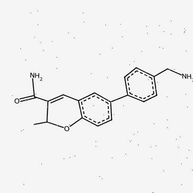 CC1Oc2ccc(-c3ccc(CN)cc3)cc2C=C1C(N)=O